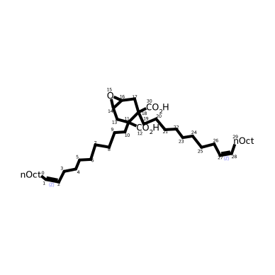 CCCCCCCC/C=C\CCCCCCCCC1(C(=O)O)CC2OC2CC1(CCCCCCCC/C=C\CCCCCCCC)C(=O)O